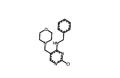 Clc1ncc(CN2CCOCC2)c(NCc2ccccc2)n1